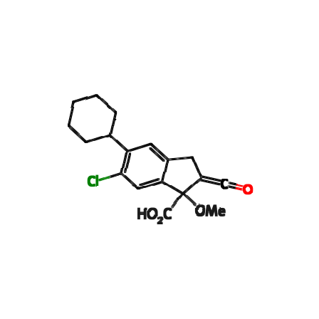 COC1(C(=O)O)C(=C=O)Cc2cc(C3CCCCC3)c(Cl)cc21